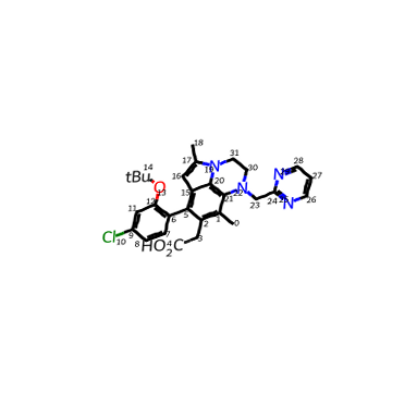 Cc1c(CC(=O)O)c(-c2ccc(Cl)cc2OC(C)(C)C)c2cc(C)n3c2c1N(Cc1ncccn1)CC3